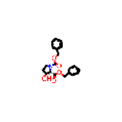 O=C(OCc1ccccc1)[C@@H]1C(O)CCN1C(=O)OCc1ccccc1